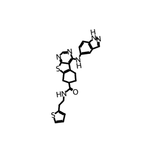 O=C(NCCc1cccs1)C1CCc2c(sc3ncnc(Nc4ccc5[nH]ncc5c4)c23)C1